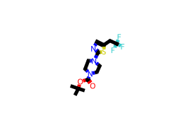 CC(C)(C)OC(=O)N1CCN(c2ncc(CC(F)(F)F)s2)CC1